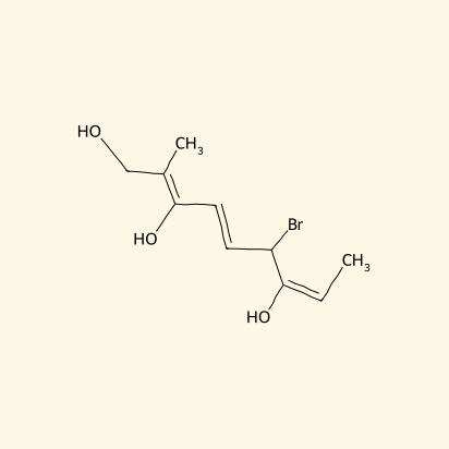 C/C=C(/O)C(Br)C=C/C(O)=C(\C)CO